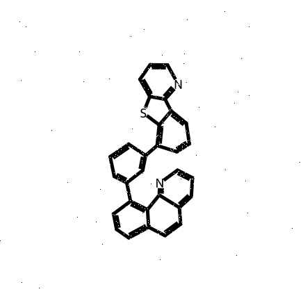 c1cc(-c2cccc3c2sc2cccnc23)cc(-c2cccc3ccc4cccnc4c23)c1